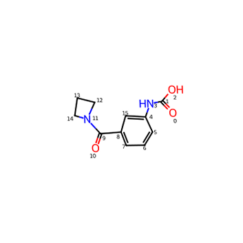 O=C(O)Nc1cccc(C(=O)N2CCC2)c1